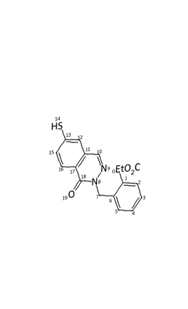 CCOC(=O)c1ccccc1Cn1ncc2cc(S)ccc2c1=O